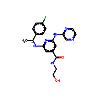 C[C@H](Nc1cc(C(=O)NCCO)cc(Nc2cnccn2)n1)c1ccc(F)cc1